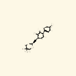 CCCC1(F)COC(C#Cc2ccc(C3=CCC(CC)CC3)c(F)c2F)OC1